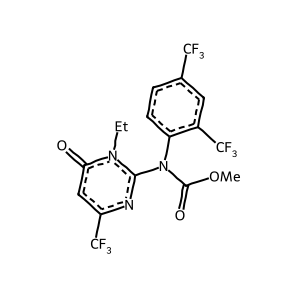 CCn1c(N(C(=O)OC)c2ccc(C(F)(F)F)cc2C(F)(F)F)nc(C(F)(F)F)cc1=O